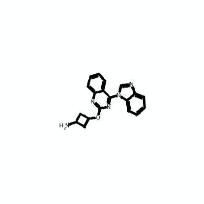 NC1CC(Oc2nc(-n3cnc4ccccc43)c3ccccc3n2)C1